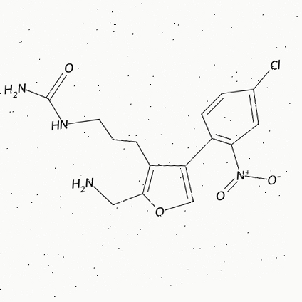 NCc1occ(-c2ccc(Cl)cc2[N+](=O)[O-])c1CCCNC(N)=O